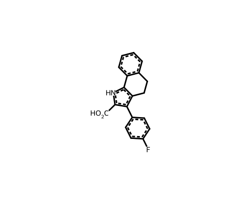 O=C(O)c1[nH]c2c(c1-c1ccc(F)cc1)CCc1ccccc1-2